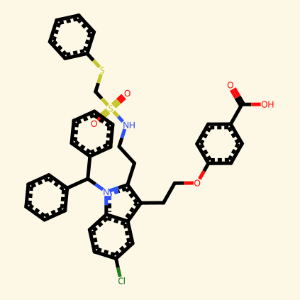 O=C(O)c1ccc(OCCc2c(CCNS(=O)(=O)CSc3ccccc3)n(C(c3ccccc3)c3ccccc3)c3ccc(Cl)cc23)cc1